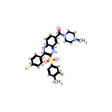 Cc1ccc(S(=O)(=O)c2nc3cc(C(=O)N4CCN(C)CC4)ccc3nc2-c2ccc(F)cc2)cc1F